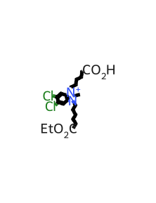 CCOC(=O)CCCCCn1c(C)[n+](CCCCCC(=O)O)c2cc(Cl)c(Cl)cc21